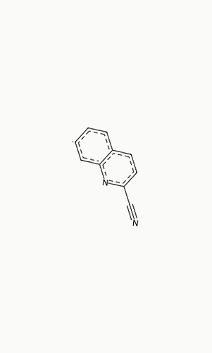 N#Cc1ccc2cc[c]cc2n1